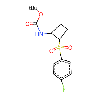 CC(C)(C)OC(=O)NC1CCC1S(=O)(=O)c1ccc(F)cc1